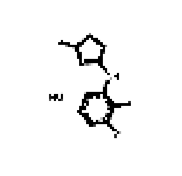 Cc1c(Cl)cccc1NC1=NC(C)CC1.Cl